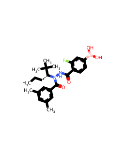 CCC[C@@H](N(NC(=O)c1ccc(B(O)O)cc1F)C(=O)c1cc(C)cc(C)c1)C(C)(C)C